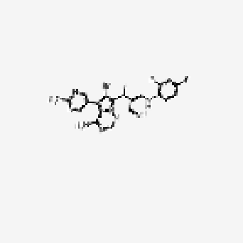 CC(/C(C=N)=C/Nc1ccc(F)cc1F)c1c(Br)c(-c2cnc(C(F)(F)F)nc2)c2c(N)ncnn12